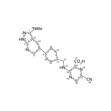 CNc1n[nH]c2ncc(-c3ccc(CNc4ncc(C#N)nc4C(=O)O)cc3)cc12